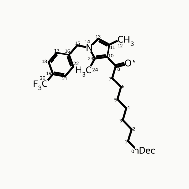 CCCCCCCCCCCCCCCCCC(=O)c1c(C)cn(Cc2ccc(C(F)(F)F)cc2)c1C